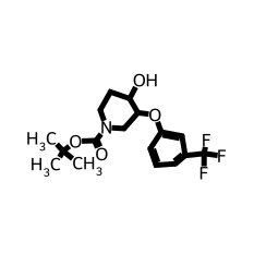 CC(C)(C)OC(=O)N1CCC(O)C(Oc2cccc(C(F)(F)F)c2)C1